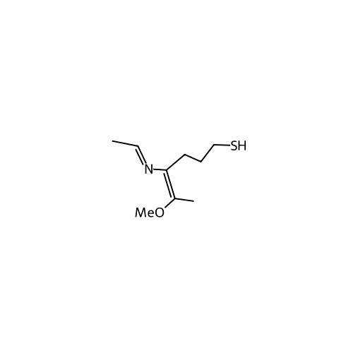 C/C=N/C(CCCS)=C(/C)OC